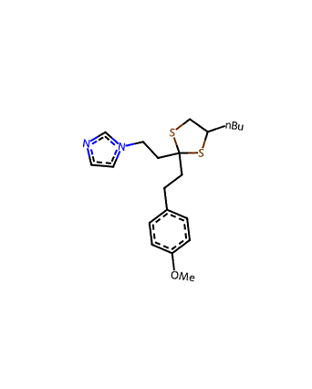 CCCCC1CSC(CCc2ccc(OC)cc2)(CCn2ccnc2)S1